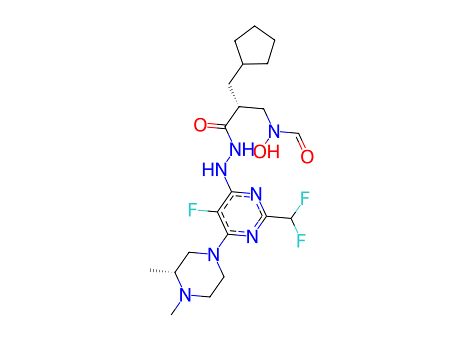 C[C@@H]1CN(c2nc(C(F)F)nc(NNC(=O)[C@H](CC3CCCC3)CN(O)C=O)c2F)CCN1C